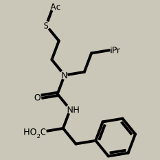 CC(=O)SCCN(CCC(C)C)C(=O)NC(Cc1ccccc1)C(=O)O